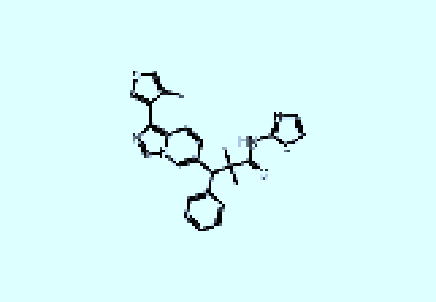 Cc1cscc1-c1ncn2cc(C(c3ccccc3)C(C)(C)C(=O)Nc3nccs3)ccc12